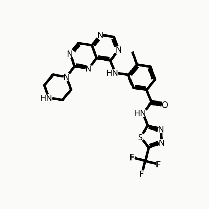 Cc1ccc(C(=O)Nc2nnc(C(F)(F)F)s2)cc1Nc1ncnc2cnc(N3CCNCC3)nc12